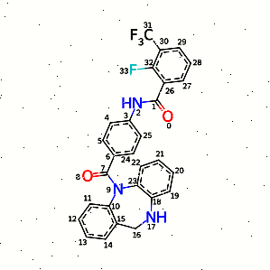 O=C(Nc1ccc(C(=O)N2c3ccccc3CNc3ccccc32)cc1)c1cccc(C(F)(F)F)c1F